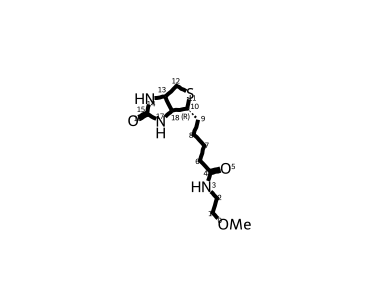 COCCNC(=O)CCCC[C@H]1SCC2NC(=O)NC21